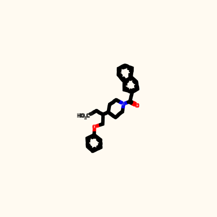 O=C(O)CC(COc1ccccc1)C1CCN(C(=O)c2ccc3ccccc3c2)CC1